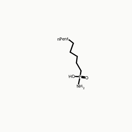 CCCCCCCCCCP(N)(=O)O